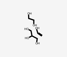 C=CO.OCC(O)CO.OCCO